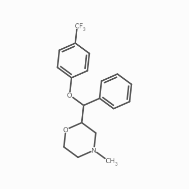 CN1CCOC(C(Oc2ccc(C(F)(F)F)cc2)c2ccccc2)C1